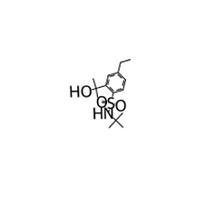 CCc1ccc(S(=O)(=O)NC(C)(C)C)c(C(C)(C)O)c1